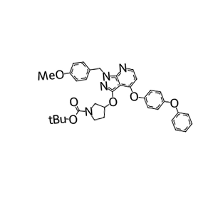 COc1ccc(Cn2nc(OC3CCN(C(=O)OC(C)(C)C)C3)c3c(Oc4ccc(Oc5ccccc5)cc4)ccnc32)cc1